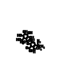 CC(C)(C)c1cc(O)c(OC(C)(C)c2c(O)c(O)c(O)c(O)c2C(=O)O)c(C(=O)O)c1O